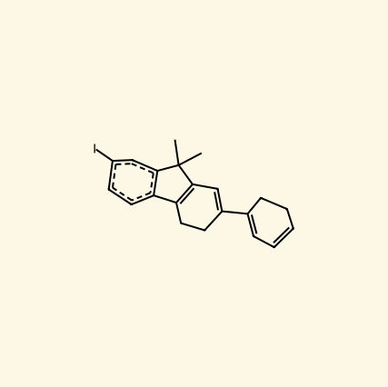 CC1(C)C2=C(CCC(C3=CC=CCC3)=C2)c2ccc(I)cc21